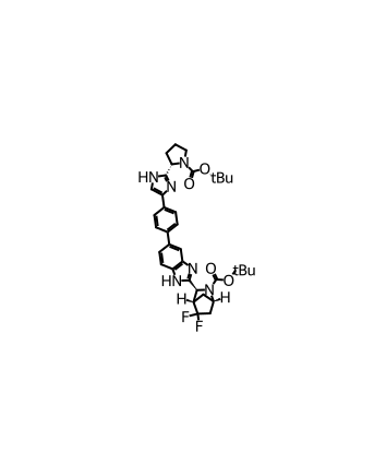 CC(C)(C)OC(=O)N1CCC[C@H]1c1nc(-c2ccc(-c3ccc4[nH]c([C@@H]5[C@@H]6C[C@@H](CC6(F)F)N5C(=O)OC(C)(C)C)nc4c3)cc2)c[nH]1